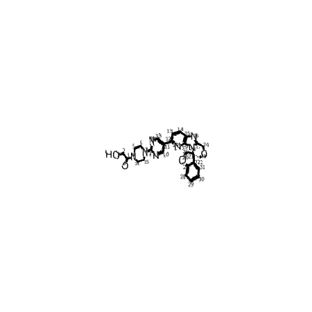 O=C(CO)N1CCN(c2ncc(-c3ccc4nc5n(c4n3)[C@]3(COC5)COc4ccccc43)cn2)CC1